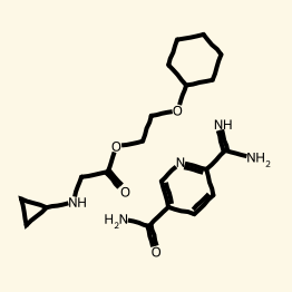 N=C(N)c1ccc(C(N)=O)cn1.O=C(CNC1CC1)OCCOC1CCCCC1